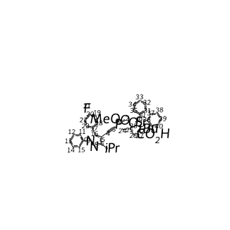 COP(=O)(C#Cc1c(C(C)C)nn(-c2ccccc2)c1-c1ccc(F)cc1)C[C@H](CC(=O)O)O[Si](c1ccccc1)(c1ccccc1)C(C)(C)C